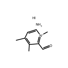 Cc1cc[n+](C)c(C=O)c1C.I.N